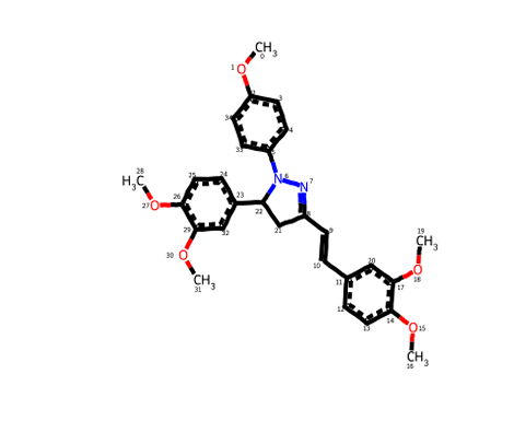 COc1ccc(N2N=C(C=Cc3ccc(OC)c(OC)c3)CC2c2ccc(OC)c(OC)c2)cc1